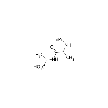 CCCNC(C)C(=O)NC(C)C(=O)O